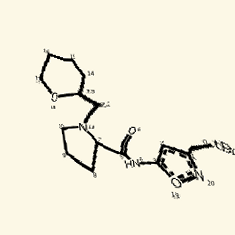 CC(C)(C)c1cc(NC(=O)C2CCCN2CC2CCCCO2)on1